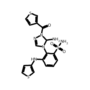 NC1N(C(=O)c2ccsc2)N=CN1c1c(Nc2ccsc2)cccc1S(N)(=O)=O